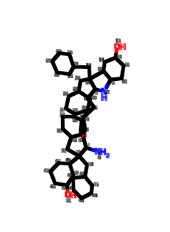 NC(CCCCCC1NC2CCC(O)CC2C1(CC1CCCCC1)CC1CCCCC1)C(CC1C=CCCC1)(CC1CCCCC1)C1CCCC(O)C1